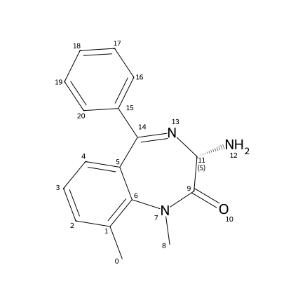 Cc1cccc2c1N(C)C(=O)[C@@H](N)N=C2c1ccccc1